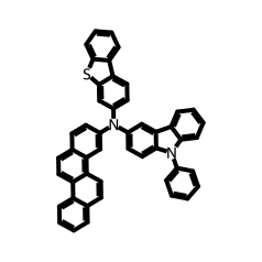 c1ccc(-n2c3ccccc3c3cc(N(c4ccc5c(c4)sc4ccccc45)c4ccc5ccc6c7ccccc7ccc6c5c4)ccc32)cc1